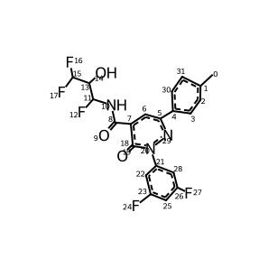 Cc1ccc(-c2cc(C(=O)NC(F)C(O)C(F)F)c(=O)n(-c3cc(F)cc(F)c3)n2)cc1